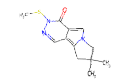 CSn1ncc2c3n(cc2c1=O)CC(C)(C)C3